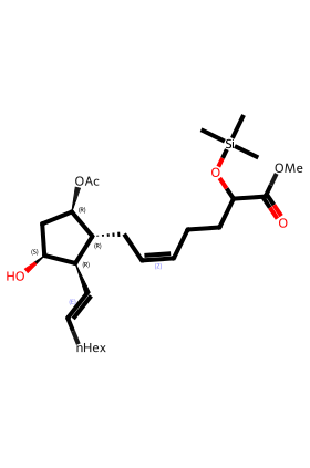 CCCCCC/C=C/[C@@H]1[C@@H](C/C=C\CCC(O[Si](C)(C)C)C(=O)OC)[C@H](OC(C)=O)C[C@@H]1O